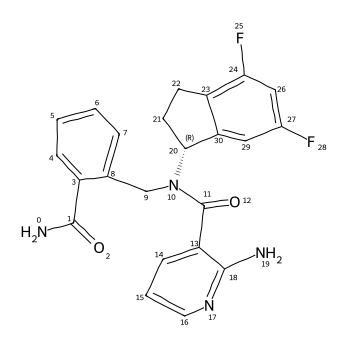 NC(=O)c1ccccc1CN(C(=O)c1cccnc1N)[C@@H]1CCc2c(F)cc(F)cc21